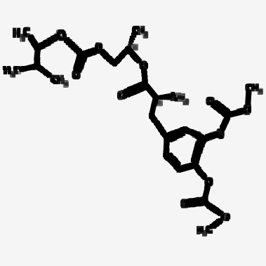 COC(=O)Oc1ccc(C[C@H](N)C(=O)O[C@@H](C)COC(=O)OC(C)C(C)C)cc1OC(=O)OC